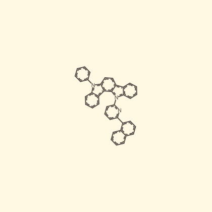 c1ccc(-n2c3ccccc3c3c2ccc2c4ccccc4n(-c4cccc(-c5cccc6ccccc56)n4)c23)cc1